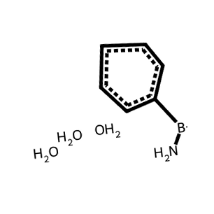 N[B]c1ccccc1.O.O.O